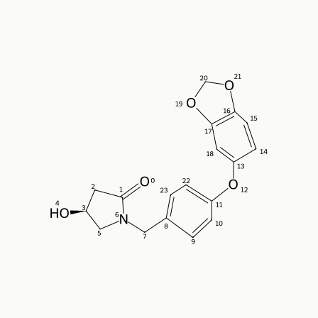 O=C1C[C@H](O)CN1Cc1ccc(Oc2ccc3c(c2)OCO3)cc1